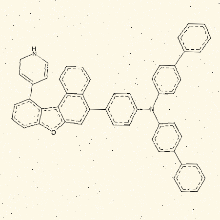 C1=CC(c2cccc3oc4cc(-c5ccc(N(c6ccc(-c7ccccc7)cc6)c6ccc(-c7ccccc7)cc6)cc5)c5ccccc5c4c23)=CCN1